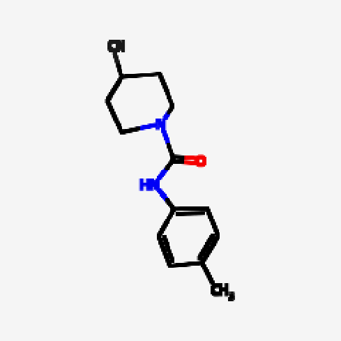 Cc1ccc(NC(=O)N2CCC(C#N)CC2)cc1